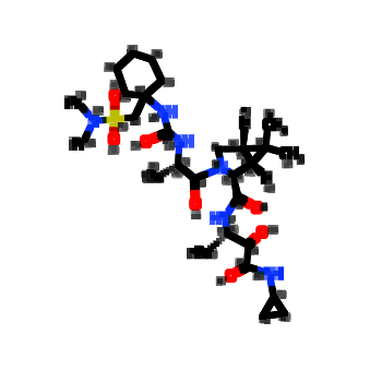 CCCC[C@H](NC(=O)[C@@H]1[C@@H]2[C@H](CN1C(=O)[C@@H](NC(=O)NC1(CS(=O)(=O)N(C(C)C)C(C)C)CCCCC1)C(C)(C)C)C2(C)C)C(=O)C(=O)NC1CC1